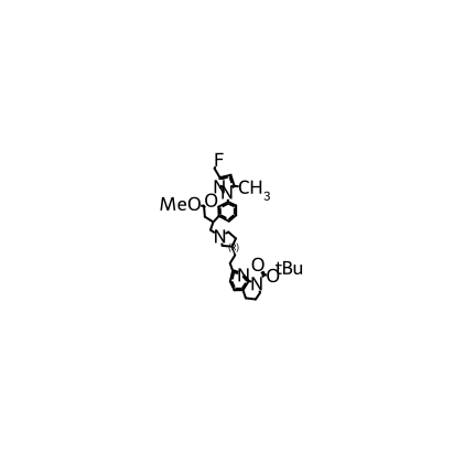 COC(=O)CC(CN1CC[C@@H](CCc2ccc3c(n2)N(C(=O)OC(C)(C)C)CCC3)C1)c1cccc(-n2nc(CF)cc2C)c1